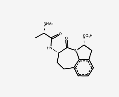 CC(=O)N[C@@H](C)C(=O)N[C@H]1CCc2cccc3c2N(C1=O)[C@H](C(=O)O)C3